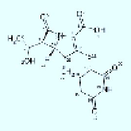 C[C@@H](O)[C@H]1C(=O)N2C(C(=O)O)=C(S[C@H]3CCC(=O)NC3=O)[C@H](C)[C@H]12